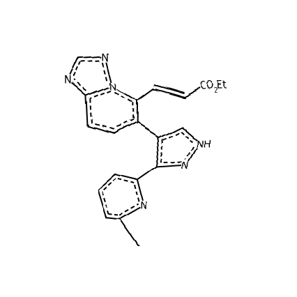 CCOC(=O)/C=C/c1c(-c2c[nH]nc2-c2cccc(C)n2)ccc2ncnn12